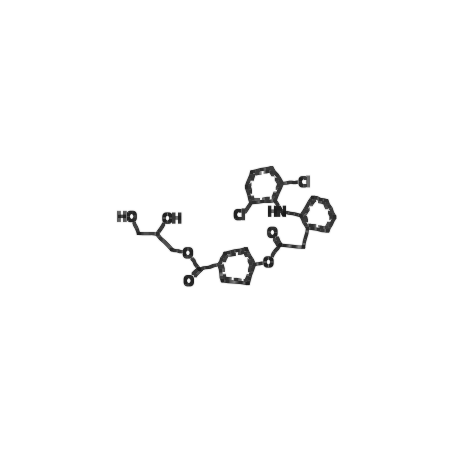 O=C(Cc1ccccc1Nc1c(Cl)cccc1Cl)Oc1ccc(C(=O)OCC(O)CO)cc1